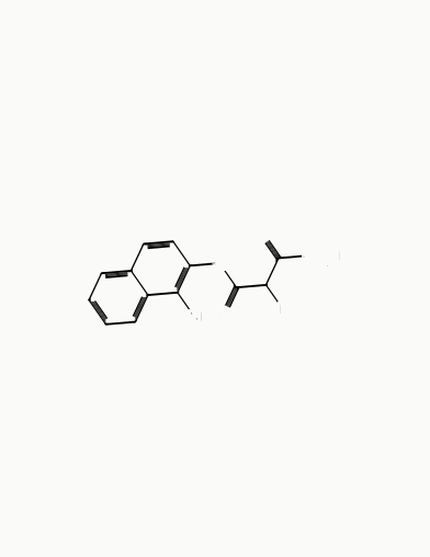 CCC(C(=O)Oc1ccc2ccccc2c1N)C(=O)C(=O)O